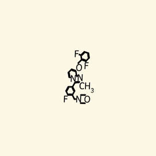 Cc1nc2c(OCc3c(F)cccc3F)cccn2c1-c1ccc(F)c(CN2CCOCC2)c1